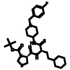 CC(C)(C)OC(=O)N1CSC[C@H]1C(=O)N[C@H](CCC1CCCCC1)C(=S)NC1CCN(Cc2ccc(F)cc2)CC1